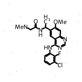 CNCC(=O)NC(C)c1cc2c(Nc3cccc(Cl)c3F)ncnc2cc1OC